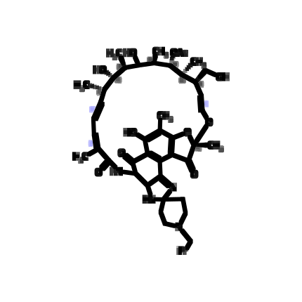 CC(=O)O[C@@H]1[C@H](C)[C@@H](CO)/C=C/O[C@@]2(C)Oc3c(C)c(O)c4c(c3C2=O)C2=NC3(CCN(CC(C)C)CC3)NC2C(NC(=O)/C(C)=C\C=C\[C@H](C)[C@H](O)[C@@H](C)C(O)[C@H]1C)C4=O